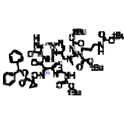 CN(Cc1cnn(C[C@H]2NC(=O)[C@H]2NC(=O)/C(=N\OC2(C(=O)OC(c3ccccc3)c3ccccc3)CC2)c2csc(NC(=O)OC(C)(C)C)n2)n1)/C(=N/C(=O)OC(C)(C)C)N(CCCNC(=O)OC(C)(C)C)C(=O)OC(C)(C)C